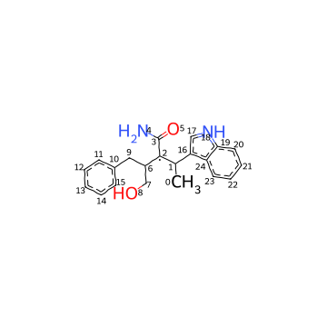 CC([C](C(N)=O)C(CO)Cc1ccccc1)c1c[nH]c2ccccc12